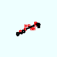 CC(C)(C)CC(C)(C(=O)OCCCC(O)C(O)CCCOc1ccc2cc(-c3ccccc3)oc2c1)C(C)(C)C